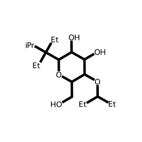 CCC(CC)OC1C(CO)OC(C(CC)(CC)C(C)C)C(O)C1O